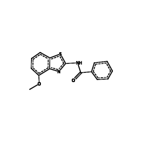 COc1cccc2sc(NC(=O)c3ccccc3)nc12